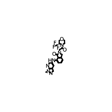 Cn1ncc2cc(Nc3cccc4c3C(=O)N(CC(=O)N3CCOC[C@@H]3C(F)(F)F)C4)cnc21